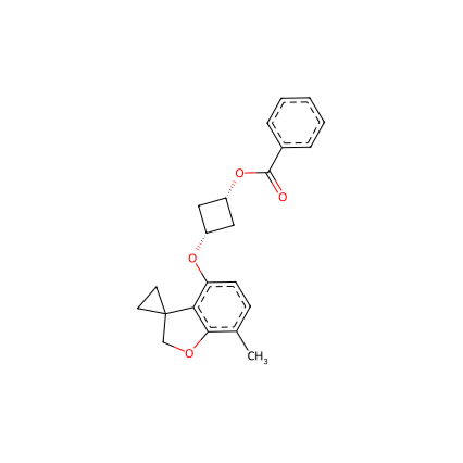 Cc1ccc(O[C@H]2C[C@@H](OC(=O)c3ccccc3)C2)c2c1OCC21CC1